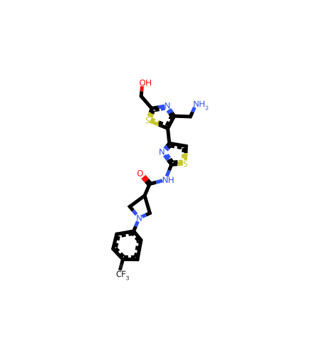 NCc1nc(CO)sc1-c1csc(NC(=O)C2CN(c3ccc(C(F)(F)F)cc3)C2)n1